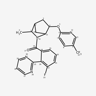 CC1C2CC(Oc3ccc(C(F)(F)F)cn3)C(C2)N1C(=O)c1cccc(F)c1-c1ncccn1